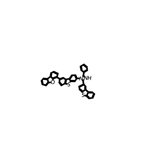 c1ccc(C2=[N+](c3ccc4c(c3)sc3ccc(-c5cccc6c5oc5ccccc56)cc34)C(c3ccc4sc5ccccc5c4c3)N2)cc1